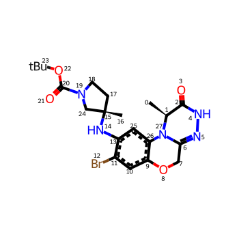 C[C@H]1C(=O)NN=C2COc3cc(Br)c(N[C@@]4(C)CCN(C(=O)OC(C)(C)C)C4)cc3N21